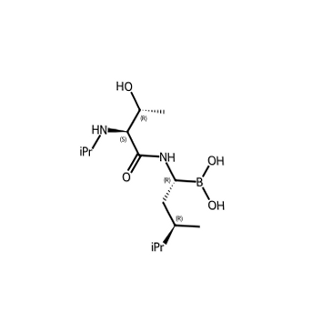 CC(C)N[C@H](C(=O)N[C@@H](C[C@@H](C)C(C)C)B(O)O)[C@@H](C)O